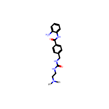 CC(C)N(CCNC(=O)NCc1ccc(C(=O)Nc2ccccc2N)cc1)C(C)C